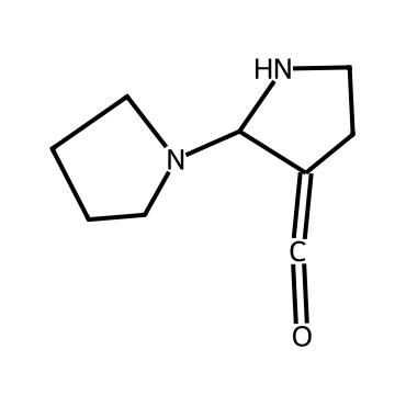 O=C=C1CCNC1N1CCCC1